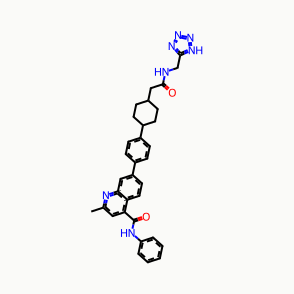 Cc1cc(C(=O)Nc2ccccc2)c2ccc(-c3ccc(C4CCC(CC(=O)NCc5nnn[nH]5)CC4)cc3)cc2n1